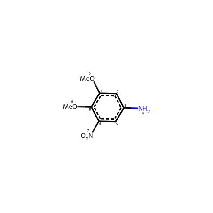 COc1cc(N)cc([N+](=O)[O-])c1OC